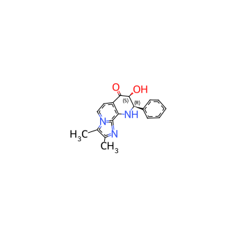 Cc1nc2c3c(ccn2c1C)C(=O)[C@@H](O)[C@@H](c1ccccc1)N3